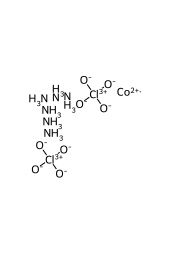 N.N.N.N.N.N.[Co+2].[O-][Cl+3]([O-])([O-])[O-].[O-][Cl+3]([O-])([O-])[O-]